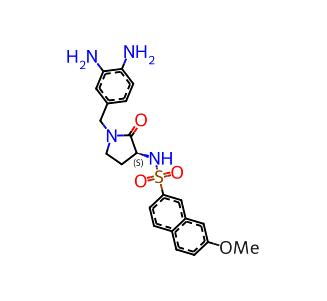 COc1ccc2ccc(S(=O)(=O)N[C@H]3CCN(Cc4ccc(N)c(N)c4)C3=O)cc2c1